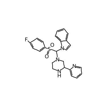 O=S(=O)(c1ccc(F)cc1)C(N1CCNC(c2ccccn2)C1)n1ccc2ccccc21